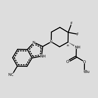 CC(C)(C)OC(=O)N[C@@H]1CN(c2nc3ccc(C#N)cc3[nH]2)CCC1(F)F